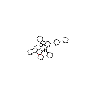 CC1(C)c2ccccc2-c2ccc(N(c3ccccc3-c3ccccc3)c3cc(-c4ccc(-c5ccccc5)cc4)cc4c3oc3ccccc34)cc21